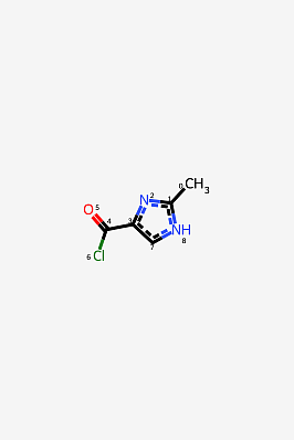 Cc1nc(C(=O)Cl)c[nH]1